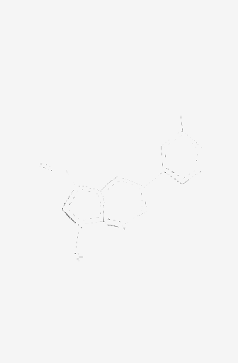 O=Cc1cn(S)c2ncc(-c3cccc(F)c3)cc12